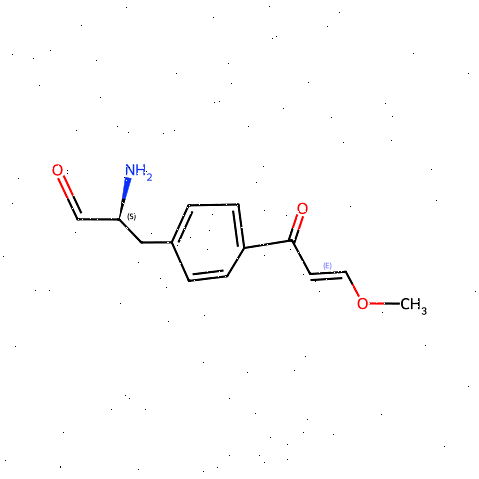 CO/C=C/C(=O)c1ccc(C[C@H](N)C=O)cc1